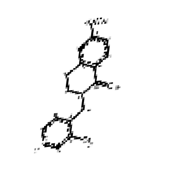 COc1ccc2c(c1)CCC(Cc1ccncc1Br)C2=O